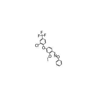 CCOc1cc(Oc2ccc(C(F)(F)F)cc2Cl)ccc1/C=N/Oc1ccccc1